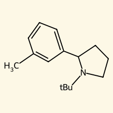 Cc1cccc(C2CCCN2C(C)(C)C)c1